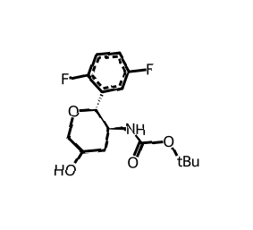 CC(C)(C)OC(=O)N[C@H]1CC(O)CO[C@@H]1c1cc(F)ccc1F